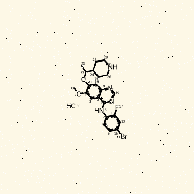 COc1cc2c(Nc3ccc(Br)cc3F)ncnc2cc1OC(C)C1CCNCC1.Cl